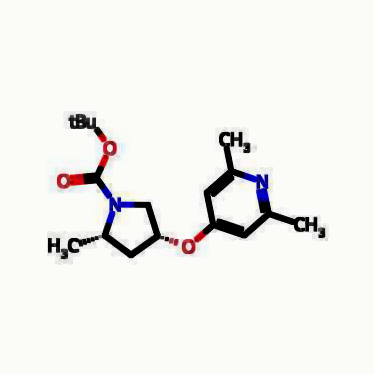 Cc1cc(O[C@@H]2C[C@H](C)N(C(=O)OC(C)(C)C)C2)cc(C)n1